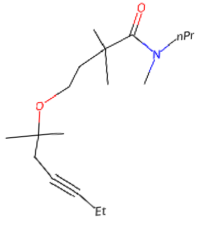 CCC#CCC(C)(C)OCCC(C)(C)C(=O)N(C)CCC